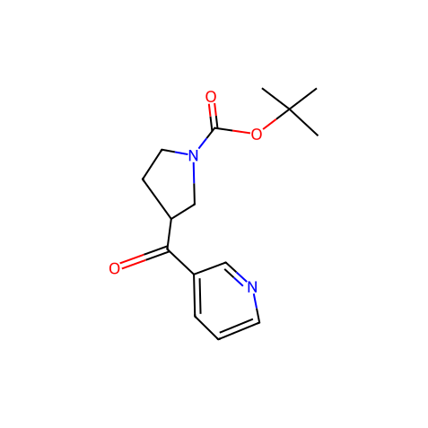 CC(C)(C)OC(=O)N1CCC(C(=O)c2cccnc2)C1